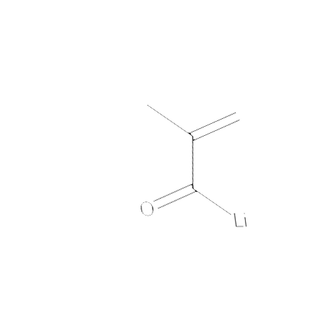 [Li][C](=O)C(=C)C